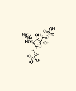 O=P([O-])([O-])OC[C@H]1O[C@](O)(COP(=O)([O-])O)[C@@H](O)[C@@H]1O.[Na+].[Na+].[Na+]